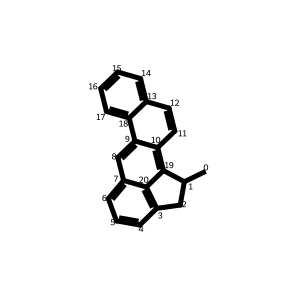 CC1Cc2cccc3cc4c(ccc5ccccc54)c1c23